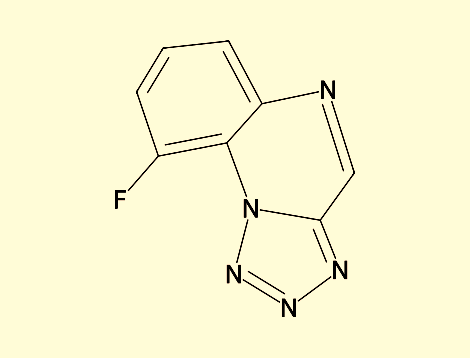 Fc1cccc2ncc3nnnn3c12